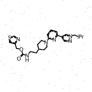 CC(C)Cn1cc(-c2cccc(N3CCC(CCNC(=O)OCc4cscn4)CC3)n2)cn1